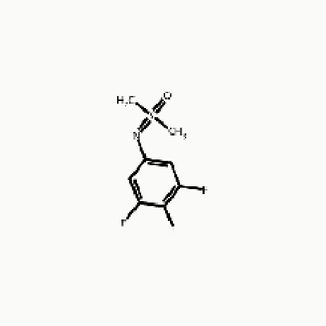 CS(C)(=O)=Nc1cc(F)c(I)c(F)c1